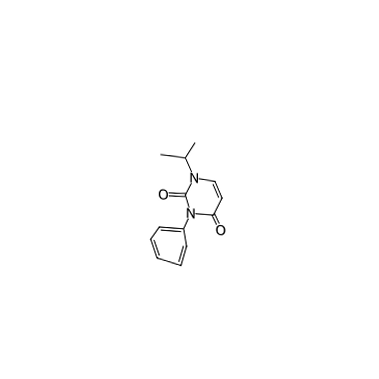 CC(C)n1ccc(=O)n(-c2ccccc2)c1=O